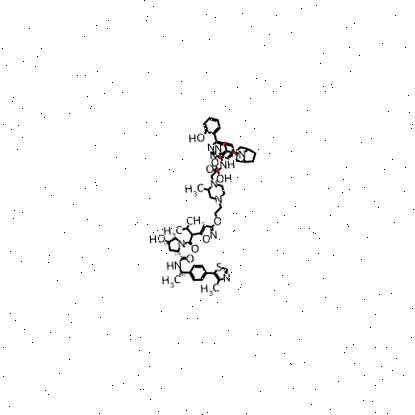 Cc1ncsc1-c1ccc([C@H](C)NC(=O)[C@@H]2C[C@@H](O)CN2C(=O)C(c2cc(OCCN3CCN(CCOc4cc(N5C6CCC5CN(c5cc(-c7ccccc7O)nnc5NC(=O)O)C6)ccn4)C(C)C3)no2)C(C)C)cc1